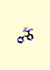 N=C(NO)c1ccncc1Sc1cnccn1